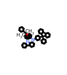 CC(C)(c1ccccc1)c1ccc(N(c2ccc(C3(c4ccccc4)c4ccccc4-c4ccccc43)cc2)c2cccc3c4ccccc4n(-c4ccccc4)c23)cc1